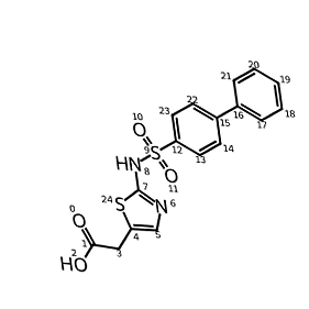 O=C(O)Cc1cnc(NS(=O)(=O)c2ccc(-c3ccccc3)cc2)s1